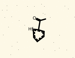 CC(=O)c1ccccc1.[Hf]